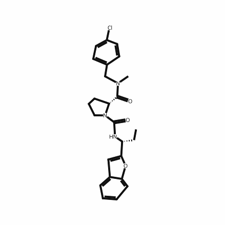 CC[C@@H](NC(=O)N1CCC[C@@H]1C(=O)N(C)Cc1ccc(Cl)cc1)c1cc2ccccc2o1